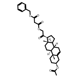 CC(=O)O[C@H]1CC[C@@]2(C)C(=CC[C@H]3[C@@H]4CC[C@H](C(=O)COC(=O)CC(=O)OCc5ccccc5)[C@@]4(C)CC[C@@H]32)C1